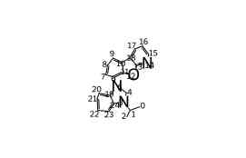 CC(C)N1CN(c2cccc3c2oc2ncccc23)c2ccccc21